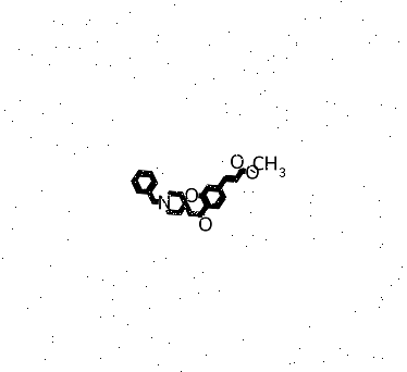 COC(=O)C=Cc1ccc2c(c1)OC1(CCN(Cc3ccccc3)CC1)CC2=O